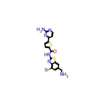 NCc1cc(Br)c2nc(NC(=O)c3ccc(-c4ccnc(N)n4)s3)sc2c1